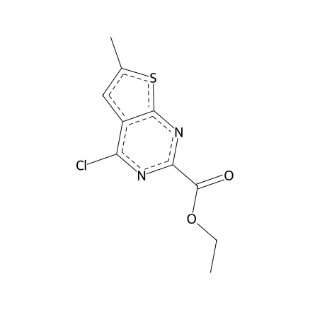 CCOC(=O)c1nc(Cl)c2cc(C)sc2n1